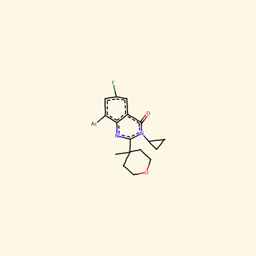 CC(=O)c1cc(F)cc2c(=O)n(C3CC3)c(C3(C)CCOCC3)nc12